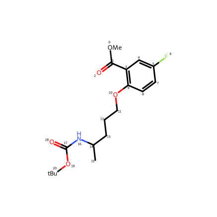 COC(=O)c1cc(F)ccc1OCCCC(C)NC(=O)OC(C)(C)C